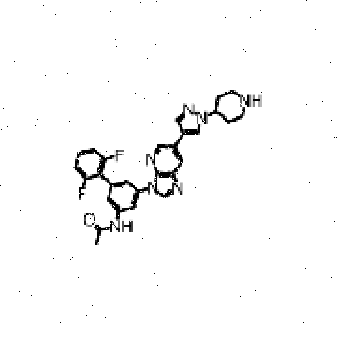 CC(=O)Nc1cc(-c2c(F)cccc2F)cc(-n2cnc3cc(-c4cnn(C5CCNCC5)c4)cnc32)c1